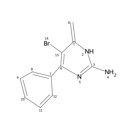 C=C1NC(N)=NC(c2ccccc2)=C1Br